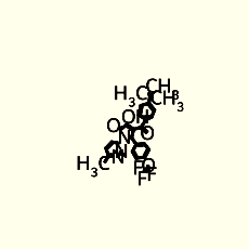 Cc1ccc(N2C(=O)C(O)=C(C(=O)c3ccc(C(C)(C)C)cc3)C2c2ccc(OC(F)(F)F)cc2)nn1